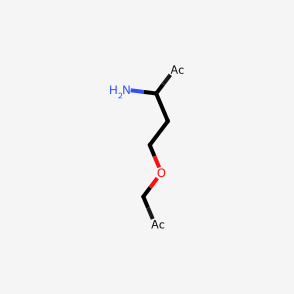 CC(=O)COCCC(N)C(C)=O